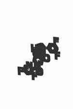 O=C(c1ncc(F)cc1F)N1CCC2(CC1)O[C@@H]1CC[C@@H](c3cc(F)cc(F)c3)N1C2=O